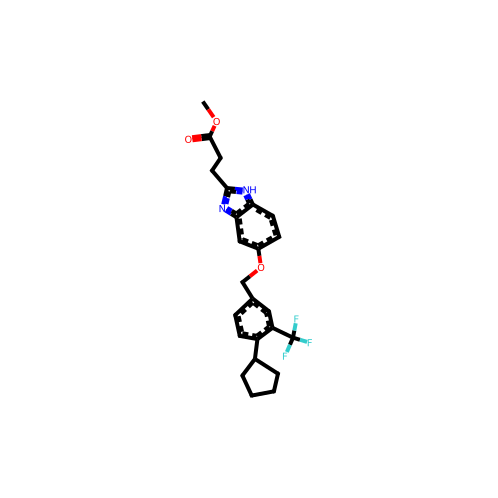 COC(=O)CCc1nc2cc(OCc3ccc(C4CCCC4)c(C(F)(F)F)c3)ccc2[nH]1